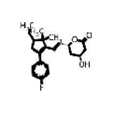 CCC1CC(c2ccc(F)cc2)=C(C=C[C@H]2C[C@H](O)CC(=O)O2)C1(C)C